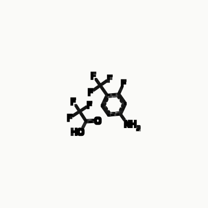 Nc1ccc(C(F)(F)F)c(F)c1.O=C(O)C(F)(F)F